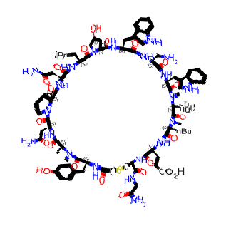 CCCC[C@H]1C(=O)N(C)[C@@H](CCCC)C(=O)N[C@@H](CCC(=O)O)C(=O)NC(C(=O)NCC(N)=O)CSCC(=O)N[C@@H](Cc2ccc(O)cc2)C(=O)N(C)[C@@H](C)C(=O)N[C@@H](CC(N)=O)C(=O)N2CCC[C@H]2C(=O)N[C@@H](CC(N)=O)C(=O)N[C@@H](CC(C)C)C(=O)N2C[C@H](O)C[C@H]2C(=O)N[C@@H](Cc2c[nH]c3ccccc23)C(=O)N[C@@H](CN)C(=O)N[C@@H](Cc2c[nH]c3ccccc23)C(=O)N1C